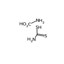 NC(=O)O.NC(=S)S